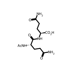 CC(=O)N[C@@H](CCC(N)=O)C(=O)N[C@@H](CCC(N)=O)C(=O)O